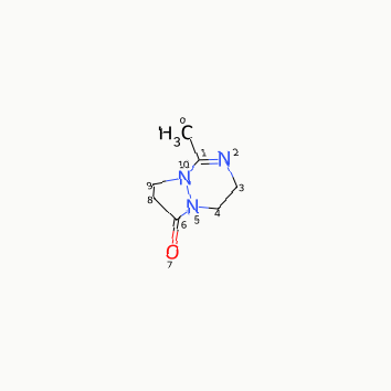 CC1=NCCN2C(=O)CCN12